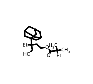 CCC(C)(C)C(=O)OCCC(CC)(CO)C12CC3CC(CC(C3)C1)C2